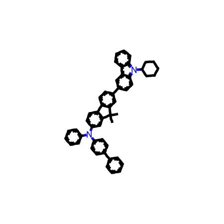 CC1(C)c2cc(-c3ccc4c(c3)c3ccccc3n4C3CCCCC3)ccc2-c2ccc(N(c3ccccc3)c3ccc(-c4ccccc4)cc3)cc21